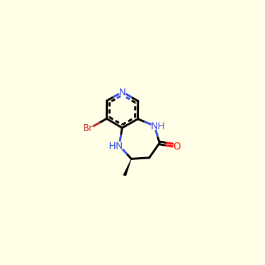 C[C@@H]1CC(=O)Nc2cncc(Br)c2N1